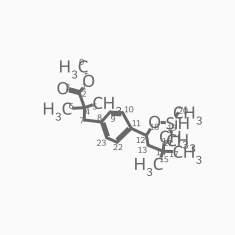 COC(=O)C(C)(C)Cc1ccc(C(CC(C)(C)C)O[SiH](C)C)cc1